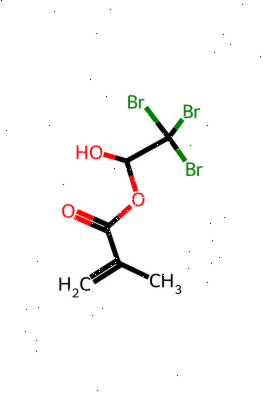 C=C(C)C(=O)OC(O)C(Br)(Br)Br